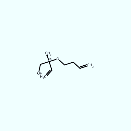 C=CCCO[C@](C)(C=C)CO